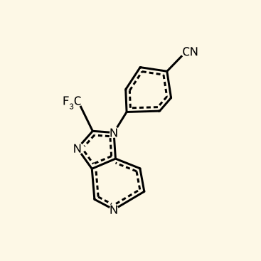 N#Cc1ccc(-n2c(C(F)(F)F)nc3cnccc32)cc1